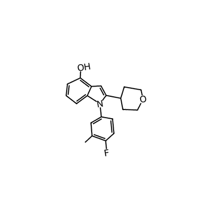 Cc1cc(-n2c(C3CCOCC3)cc3c(O)cccc32)ccc1F